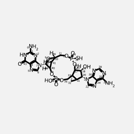 Nc1nc2c(ncn2[C@@H]2O[C@@H]3CO[P@@](=O)(S)O[C@H]4[C@@H](O)[C@H](n5cnc6c(N)ncnc65)C5C[C@@]54COP(=O)(O)O[C@@H]2[C@@H]3F)c(=O)[nH]1